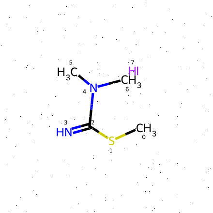 CSC(=N)N(C)C.I